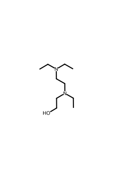 CCN(CC)CCN(CC)CCO